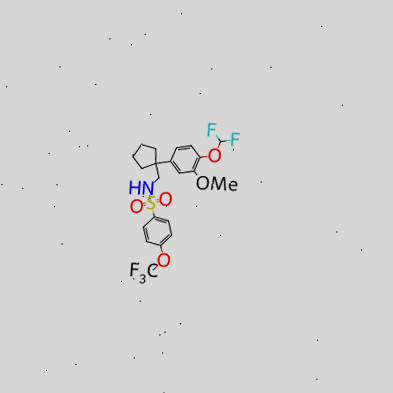 COc1cc(C2(CNS(=O)(=O)c3ccc(OC(F)(F)F)cc3)CCCC2)ccc1OC(F)F